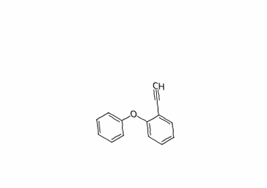 C#Cc1ccccc1Oc1ccccc1